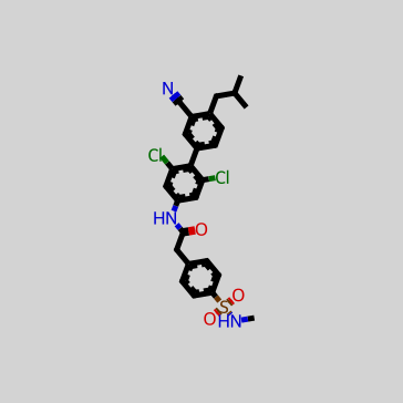 CNS(=O)(=O)c1ccc(CC(=O)Nc2cc(Cl)c(-c3ccc(CC(C)C)c(C#N)c3)c(Cl)c2)cc1